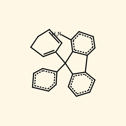 Nc1cccc2c1C(C1=CCCC=C1)(c1ccccc1)c1ccccc1-2